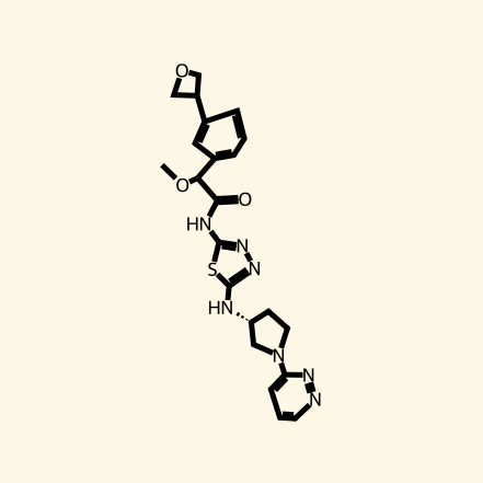 COC(C(=O)Nc1nnc(N[C@@H]2CCN(c3cccnn3)C2)s1)c1cccc(C2COC2)c1